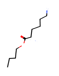 CCCCOC(=O)[C@@H](N)CCCCN